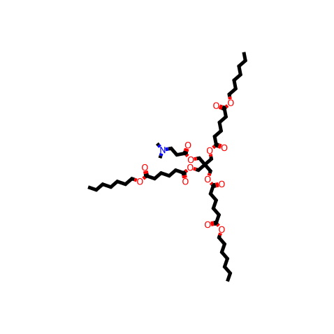 CCCCCCCOC(=O)CCCCC(=O)OCC(COC(=O)CCCCC(=O)OCCCCCCC)(COC(=O)CCCCC(=O)OCCCCCCC)COC(=O)CCN(C)C